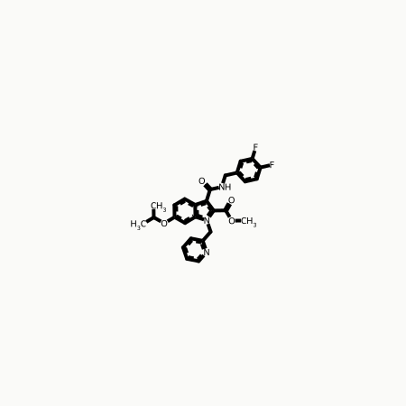 COC(=O)c1c(C(=O)NCc2ccc(F)c(F)c2)c2ccc(OC(C)C)cc2n1Cc1ccccn1